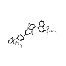 NC1(c2ccc(-c3cnc4c(-c5ccc(S(N)(=O)=O)c6ccccc56)cnn4c3)cc2)CCC1